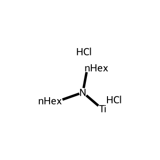 CCCCCC[N]([Ti])CCCCCC.Cl.Cl